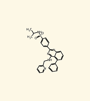 CC(C)NS(=O)(=O)c1ccc(-c2nc(NCc3ccccn3)c3c(-c4ccccc4)cccc3n2)cc1